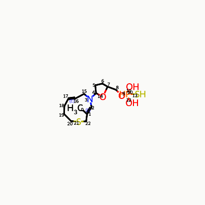 C/C1=C\N(C2CCC(CO[PH](O)(O)S)O2)C/C=C/CCCSC1